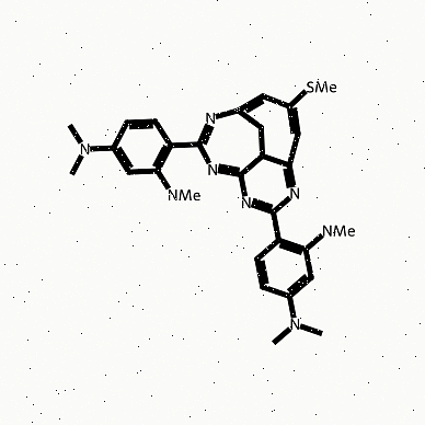 CNc1cc(N(C)C)ccc1C1=NC2=CC(SC)=CC3=NC(c4ccc(N(C)C)cc4NC)=NC(=N1)C3C2